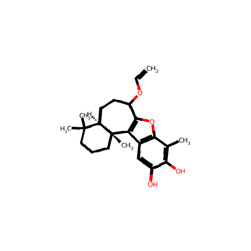 C=COC1CC[C@@H]2C(C)(C)CCC[C@@]2(C)c2c1oc1c(C)c(O)c(O)cc21